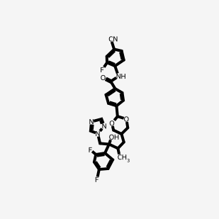 CC(CC1COC(c2ccc(C(=O)Nc3ccc(C#N)cc3F)cc2)OC1)C(O)(Cn1cncn1)c1ccc(F)cc1F